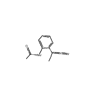 CC(=O)Nc1ccccc1C(C)=[N+]=[N-]